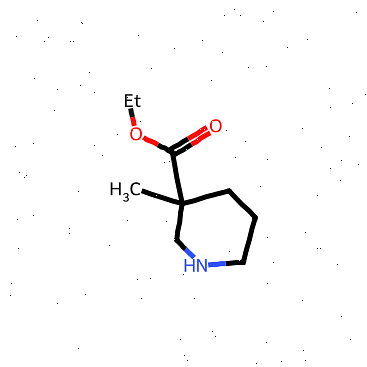 CCOC(=O)C1(C)CCCNC1